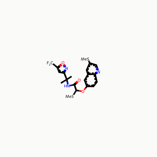 CSc1cnc2ccc(OC(SC)C(=O)NC(C)(C)c3cc(C(F)(F)F)on3)cc2c1